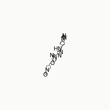 c1cn(-c2ccc(CNc3cc(-c4cnc5cc(OCC6CCN(C7COC7)CC6)ccn45)ncn3)cc2)nn1